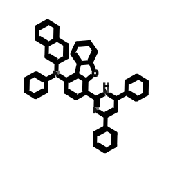 C1=C(c2ccccc2)N=C(c2ccc(N(c3ccccc3)c3ccc4ccccc4c3)c3c2oc2ccccc23)NC1c1ccccc1